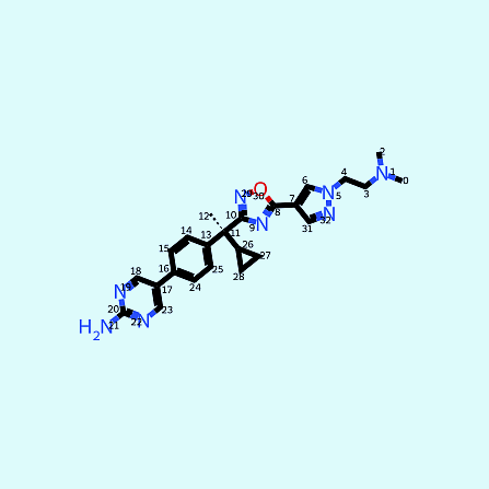 CN(C)CCn1cc(-c2nc([C@](C)(c3ccc(-c4cnc(N)nc4)cc3)C3CC3)no2)cn1